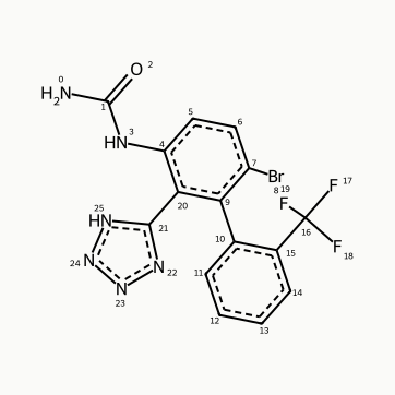 NC(=O)Nc1ccc(Br)c(-c2ccccc2C(F)(F)F)c1-c1nnn[nH]1